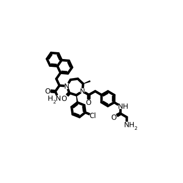 C[C@@H]1CCN(C(Cc2cccc3ccccc23)C(N)=O)C(=O)[C@H](c2cccc(Cl)c2)N1C(=O)Cc1ccc(NC(=O)CN)cc1